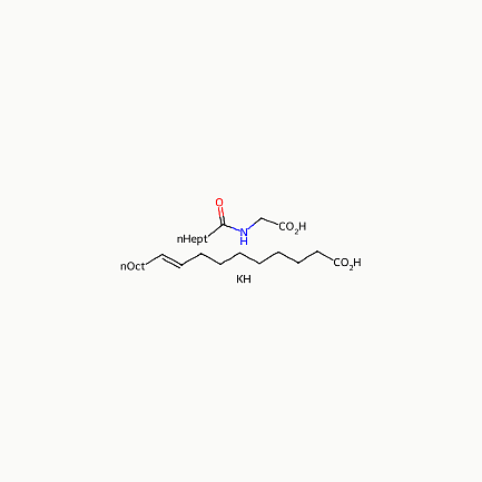 CCCCCCCC(=O)NCC(=O)O.CCCCCCCCC=CCCCCCCCC(=O)O.[KH]